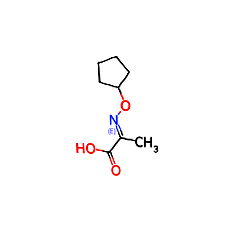 C/C(=N\OC1CCCC1)C(=O)O